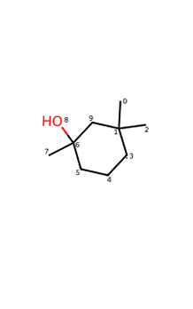 CC1(C)[CH]CCC(C)(O)C1